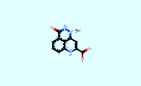 O=C([O-])C1=Cc2n[nH]c(=O)c3cccc(c23)N1.[Na+]